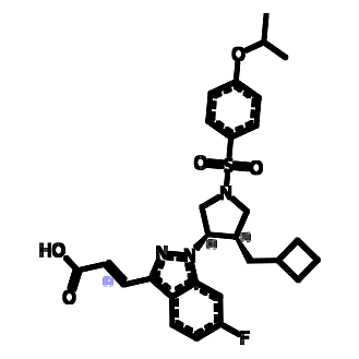 CC(C)Oc1ccc(S(=O)(=O)N2C[C@@H](CC3CCC3)[C@@H](n3nc(/C=C/C(=O)O)c4ccc(F)cc43)C2)cc1